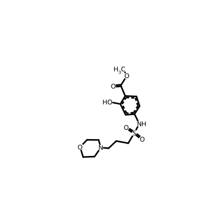 COC(=O)c1ccc(NS(=O)(=O)CCCN2CCOCC2)cc1O